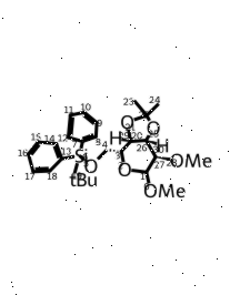 COC1O[C@H](CO[Si](c2ccccc2)(c2ccccc2)C(C)(C)C)[C@@H]2OC(C)(C)O[C@@H]2[C@H]1OC